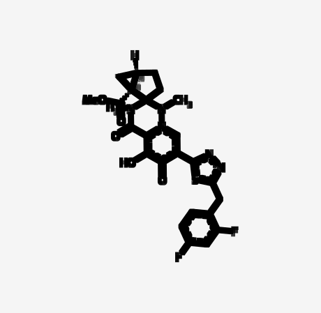 COC(=O)[C@]12C[C@H]1CCC21N(C)C(=O)c2c(O)c(=O)c(-c3nnc(Cc4ccc(F)cc4F)s3)cn2N1C